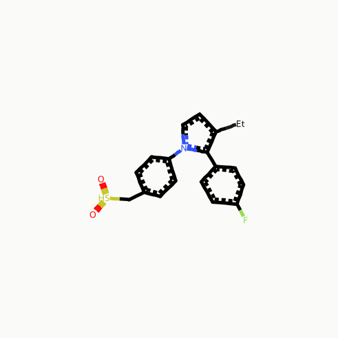 CCc1ccn(-c2ccc(C[SH](=O)=O)cc2)c1-c1ccc(F)cc1